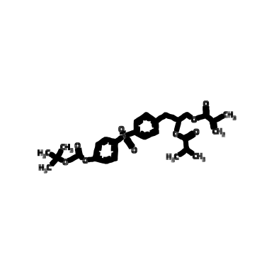 C=C(C)C(=O)OCC(Cc1ccc(S(=O)(=O)c2ccc(OC(=O)OC(C)(C)C)cc2)cc1)OC(=O)C(C)C